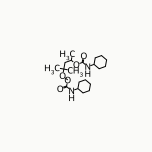 CC(CC(C)(C)OOC(=O)NC1CCCCC1)OC(=O)NC1CCCCC1